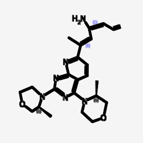 C=C/C=C(N)\C=C(/C)c1ccc2c(N3CCOC[C@@H]3C)nc(N3CCOC[C@@H]3C)nc2n1